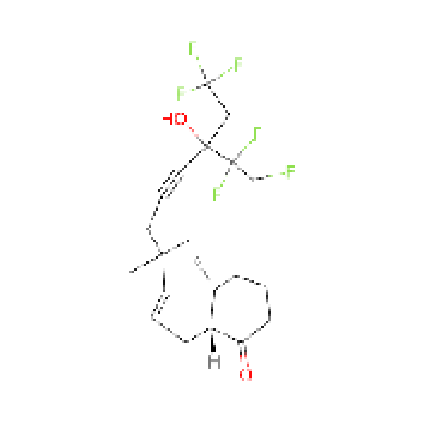 CC(C)(CC#CC(O)(CC(F)(F)F)C(F)(F)CF)C1=CC[C@H]2C(=O)CCC[C@]12C